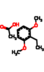 CC(=O)O.CCc1c(OC)cccc1OC